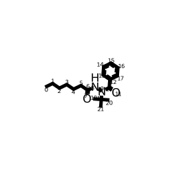 CCCCCCC(=O)NN(C(=O)c1ccccc1)C(C)(C)C